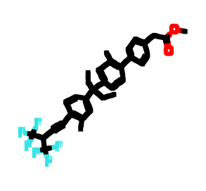 CCC(CC)(c1ccc(C#CC(C(F)(F)F)C(F)(F)F)c(C)c1)c1ccc(-c2ccc(CC(=O)OC)cc2)c(C)c1